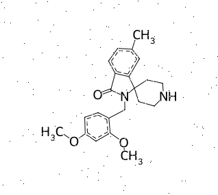 COc1ccc(CN2C(=O)c3ccc(C)cc3C23CCNCC3)c(OC)c1